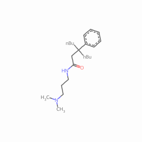 CCCCC(CCCC)(CC(=O)NCCCN(C)C)c1ccccc1